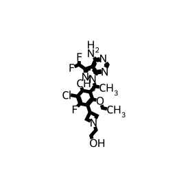 CCOC1=C(C2CN(CCO)C2)C(F)=C(Cl)C(C)C1C(C)n1nc(C(F)F)c2c(N)ncnc21